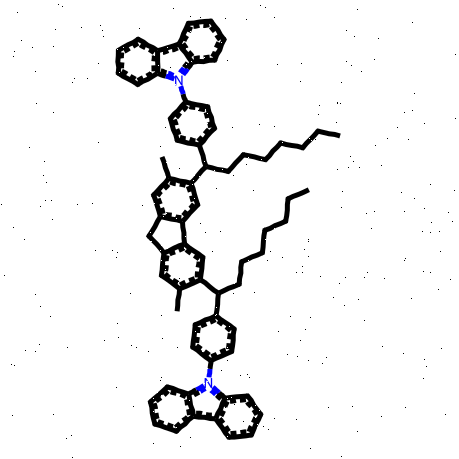 CCCCCCCC(c1ccc(-n2c3ccccc3c3ccccc32)cc1)c1cc2c(cc1C)Cc1cc(C)c(C(CCCCCCC)c3ccc(-n4c5ccccc5c5ccccc54)cc3)cc1-2